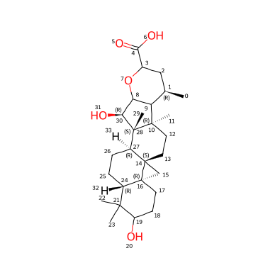 C[C@@H]1CC(C(=O)O)OC2C1[C@@]1(C)CC[C@@]34C[C@@]35CCC(O)C(C)(C)[C@@H]5CC[C@H]4[C@]1(C)[C@H]2O